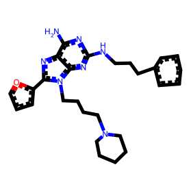 Nc1nc(NCCCc2ccccc2)nc2c1nc(-c1ccco1)n2CCCCN1CCCCC1